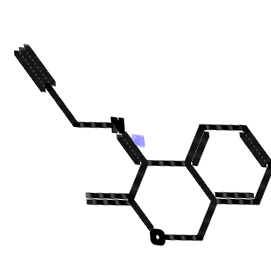 C#CC/N=C1\C(=C)OCc2ccccc21